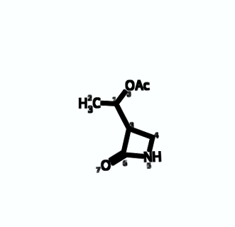 CC(=O)OC(C)C1CNC1=O